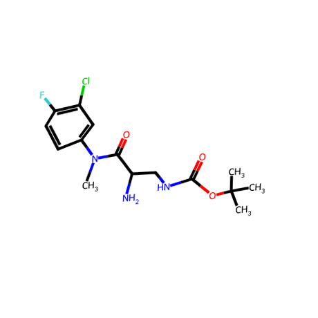 CN(C(=O)C(N)CNC(=O)OC(C)(C)C)c1ccc(F)c(Cl)c1